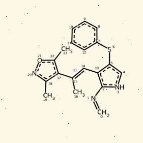 C=Nc1[nH]cc(Sc2ccccc2)c1/C=C(\C)c1c(C)noc1C